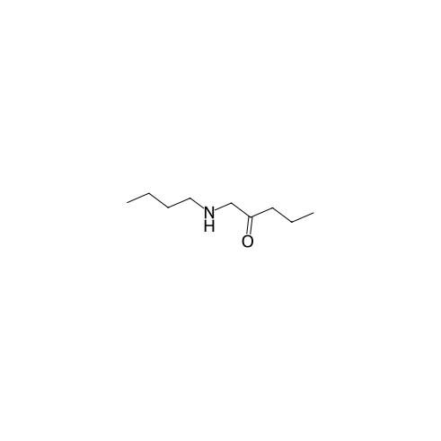 CCCCNCC(=O)CCC